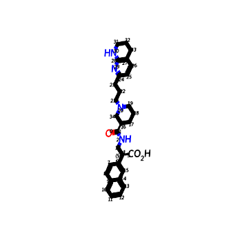 O=C(NC[C@@H](C(=O)O)c1ccc2ccccc2c1)[C@@H]1CCCN(CCCc2ccc3c(n2)NCCC3)C1